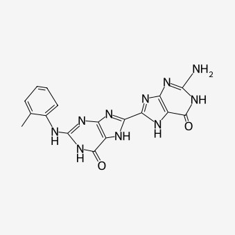 Cc1ccccc1Nc1nc2nc(-c3nc4nc(N)[nH]c(=O)c4[nH]3)[nH]c2c(=O)[nH]1